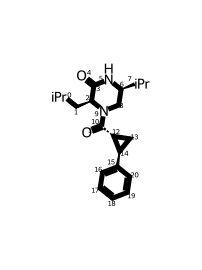 CC(C)C[C@H]1C(=O)N[C@@H](C(C)C)CN1C(=O)[C@@H]1C[C@H]1c1ccccc1